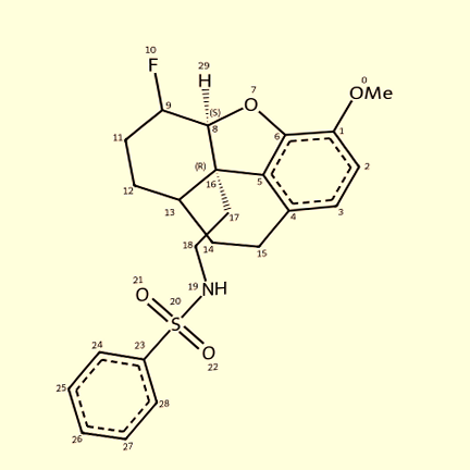 COc1ccc2c3c1O[C@@H]1C(F)CCC(CC2)[C@]31CCNS(=O)(=O)c1ccccc1